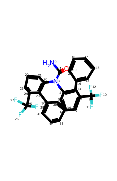 NC(=O)N(c1cccc(C(F)(F)F)c1-c1ccccc1)c1cccc(C(F)(F)F)c1-c1ccccc1